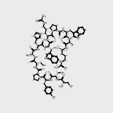 CC[C@H](C)[C@H](NC(=O)[C@H](CC(C)C)NC(=O)[C@@H]1CCCN1C(=O)[C@H](Cc1ccc(O)cc1)NC(=O)[C@H](CO)NC(=O)[C@@H](N)CO)C(=O)N[C@@H](Cc1c[nH]cn1)C(=O)N[C@@H](Cc1c[nH]c2ccccc12)C(=O)N[C@@H](CCCNC(=N)N)C(=O)N1CCC[C@H]1C(=O)N[C@@H](Cc1c[nH]c2ccccc12)C(=O)N[C@@H](C)C(=O)N[C@@H](CCCNC(=N)N)C(=O)O